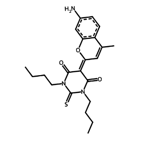 CCCCN1C(=O)C(=C2C=C(C)c3ccc(N)cc3O2)C(=O)N(CCCC)C1=S